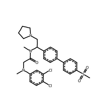 CN(CC(=O)N(C)C(CN1CCCC1)c1ccc(-c2ccc(S(C)(=O)=O)cc2)cc1)c1ccc(Cl)c(Cl)c1